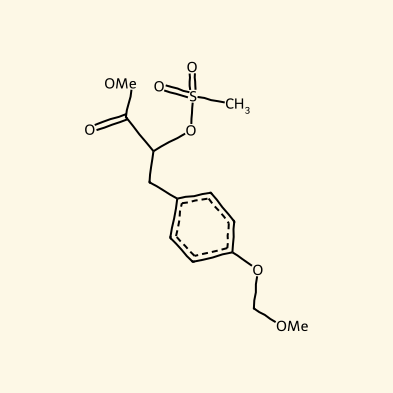 COCOc1ccc(CC(OS(C)(=O)=O)C(=O)OC)cc1